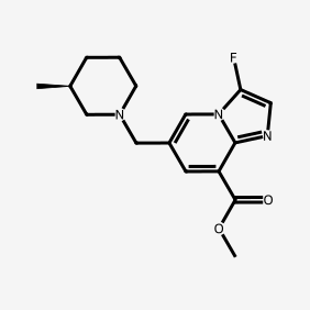 COC(=O)c1cc(CN2CCC[C@H](C)C2)cn2c(F)cnc12